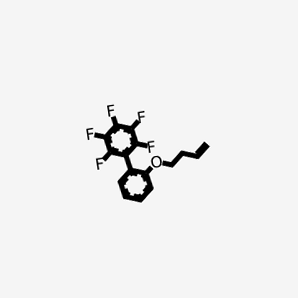 C=CCCOc1ccccc1-c1c(F)c(F)c(F)c(F)c1F